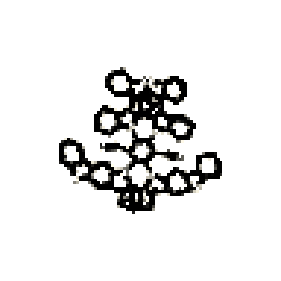 N#Cc1c(-n2c3ccccc3c3cc4oc5ccccc5c4cc32)c(-n2c3ccccc3c3cc4oc5ccccc5c4cc32)c(C#N)c(-n2c3ccccc3c3cc4oc5ccccc5c4cc32)c1-n1c2ccccc2c2cc3oc4ccccc4c3cc21